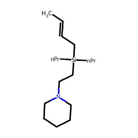 CC=CC[Si](CCC)(CCC)CCN1CCCCC1